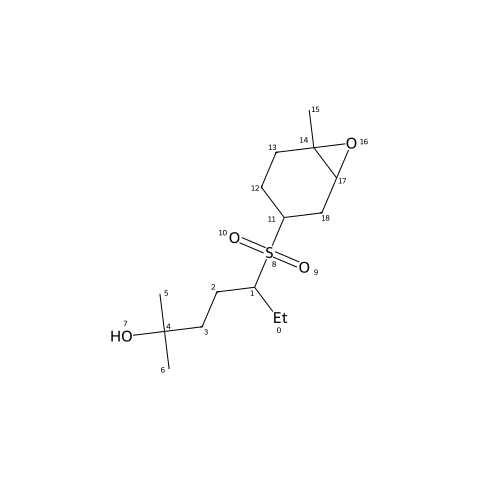 CCC(CCC(C)(C)O)S(=O)(=O)C1CCC2(C)OC2C1